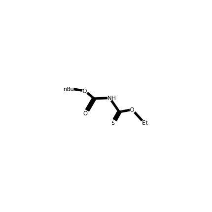 CCCCOC(=O)NC(=S)OCC